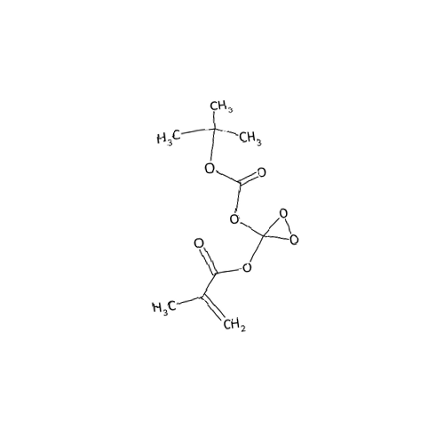 C=C(C)C(=O)OC1(OC(=O)OC(C)(C)C)OO1